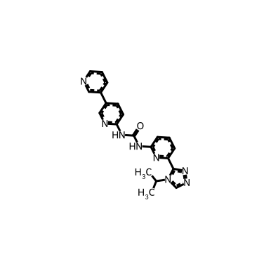 CC(C)n1cnnc1-c1cccc(NC(=O)Nc2ccc(-c3cccnc3)cn2)n1